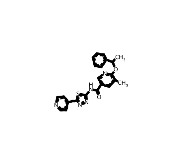 Cc1cc(C(=O)Nc2nnc(-c3ccncc3)s2)cnc1OC(C)c1ccccc1